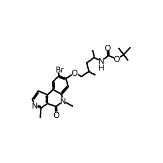 Cc1nccc2c1c(=O)n(C)c1cc(OCC(C)CC(C)NC(=O)OC(C)(C)C)c(Br)cc21